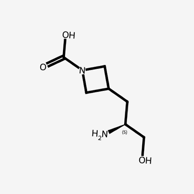 N[C@H](CO)CC1CN(C(=O)O)C1